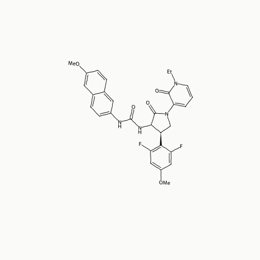 CCn1cccc(N2C[C@@H](c3c(F)cc(OC)cc3F)C(NC(=O)Nc3ccc4cc(OC)ccc4c3)C2=O)c1=O